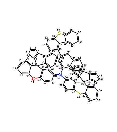 CC1CC=CC2=C1C1(c3ccccc3Oc3ccc(N(c4ccc5c(c4)C4(c6ccccc6S5)c5ccccc5-c5ccccc54)c4cc(-c5cccc6sc7ccccc7c56)cc5ccccc45)cc31)c1ccccc12